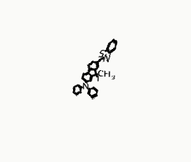 CC1(I)c2cc(-c3nc4ccccc4s3)ccc2-c2ccc(N(c3ccccc3)c3ccccc3)cc21